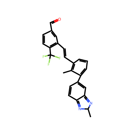 Cc1c(/C=C/c2cc(C=O)ccc2C(F)(F)F)cccc1-c1ccc2c(c1)=NC(C)N=2